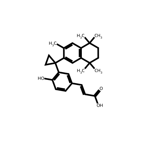 Cc1cc2c(cc1C1(c3cc(C=CC(=O)O)ccc3O)CC1)C(C)(C)CCC2(C)C